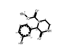 CC(C)(C)OC(=O)N1CCNC(=O)C1c1cccc(Br)n1